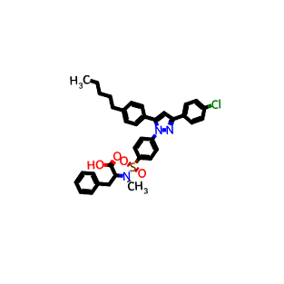 CCCCCc1ccc(-c2cc(-c3ccc(Cl)cc3)nn2-c2ccc(S(=O)(=O)N(C)C(Cc3ccccc3)C(=O)O)cc2)cc1